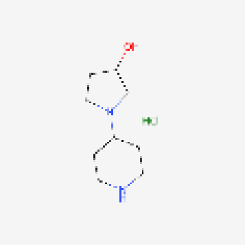 Cl.OC1CCN(C2CCNCC2)C1